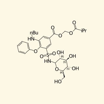 CCCCNc1cc(C(=O)OCOC(=O)C(C)C)cc(S(=O)(=O)NC2O[C@H](CO)[C@@H](O)[C@H](O)[C@H]2O)c1Oc1ccccc1